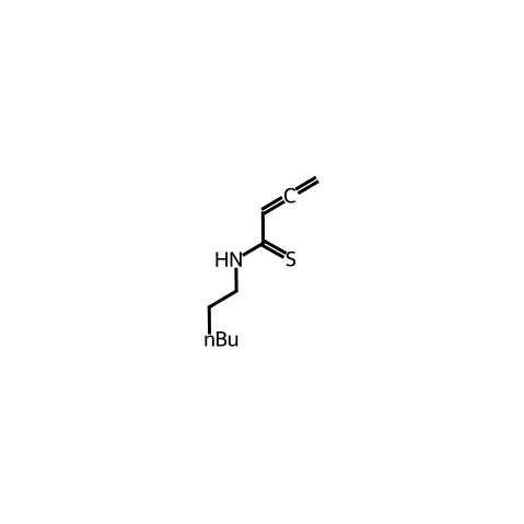 C=C=CC(=S)NCCCCCC